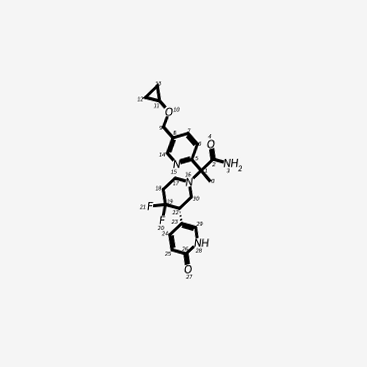 CC(C(N)=O)(c1ccc(COC2CC2)cn1)N1CCC(F)(F)[C@@H](c2ccc(=O)[nH]c2)C1